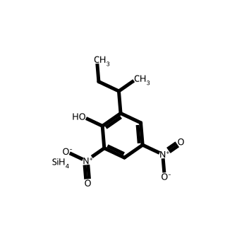 CCC(C)c1cc([N+](=O)[O-])cc([N+](=O)[O-])c1O.[SiH4]